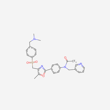 Cc1oc(-c2ccc(N(Cc3cccnc3)C(=O)C(F)(F)F)cc2)nc1CS(=O)(=O)c1ccc(CN(C)C)cc1